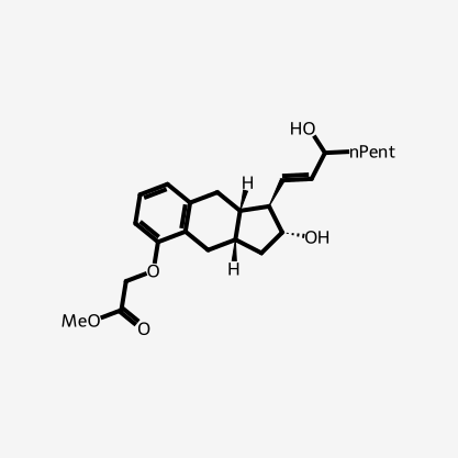 CCCCCC(O)C=C[C@@H]1[C@H]2Cc3cccc(OCC(=O)OC)c3C[C@H]2C[C@H]1O